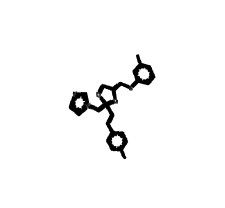 Cc1ccc(CCC2(Cn3ccnc3)OCC(CSc3cccc(C)c3)O2)cc1